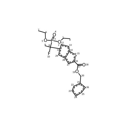 CCOP(=O)(OCC)C(C)(F)c1ccc2sc(C(=O)OCc3ccccc3)cc2c1